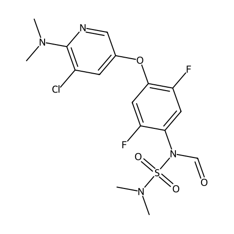 CN(C)c1ncc(Oc2cc(F)c(N(C=O)S(=O)(=O)N(C)C)cc2F)cc1Cl